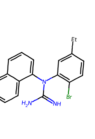 CCc1ccc(Br)c(N(C(=N)N)c2cccc3ccccc23)c1